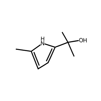 Cc1ccc(C(C)(C)O)[nH]1